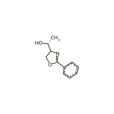 C[C@@H](O)C1COC(c2ccccc2)=N1